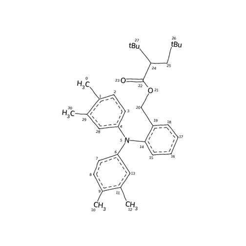 Cc1ccc(N(c2ccc(C)c(C)c2)c2ccccc2COC(=O)C(CC(C)(C)C)C(C)(C)C)cc1C